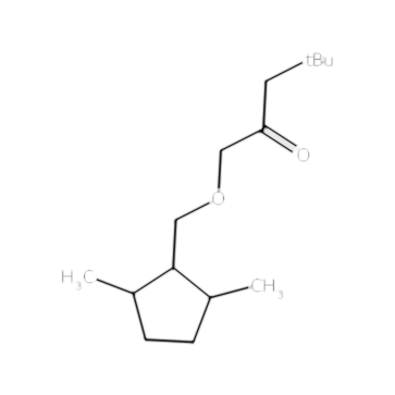 CC1CCC(C)C1COCC(=O)CC(C)(C)C